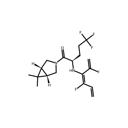 C=C/C(F)=C(/N[C@H](CCC(F)(F)F)C(=O)N1C[C@@H]2[C@H](C1)C2(C)C)C(=C)F